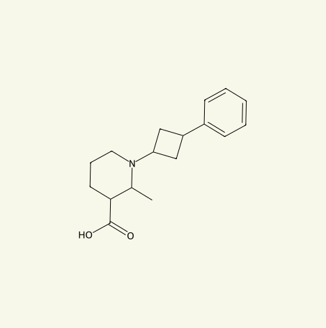 CC1C(C(=O)O)CCCN1C1CC(c2ccccc2)C1